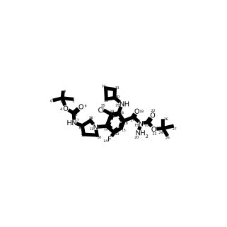 CC(C)(C)OC(=O)NC1CCN(c2c(F)cc(C(=O)N(N)C(=O)OC(C)(C)C)c(NC3CCC3)c2Cl)C1